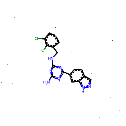 Nc1nc(NCc2cccc(Cl)c2Cl)nc(-c2ccc3cn[nH]c3c2)n1